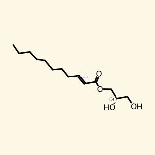 CCCCCCCC/C=C/C(=O)OC[C@@H](O)CO